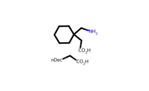 CCCCCCCCCCCC(=O)O.NCC1(CC(=O)O)CCCCC1